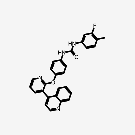 Cc1ccc(NC(=O)Nc2ccc(Oc3ncccc3-c3ccnc4ccccc34)cc2)cc1F